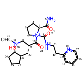 NC(=O)[C@@H]1CCC[N+]1(C(=O)NCCc1ccccn1)C(=O)[C@H](CC1CCCC1)CN(O)C=O